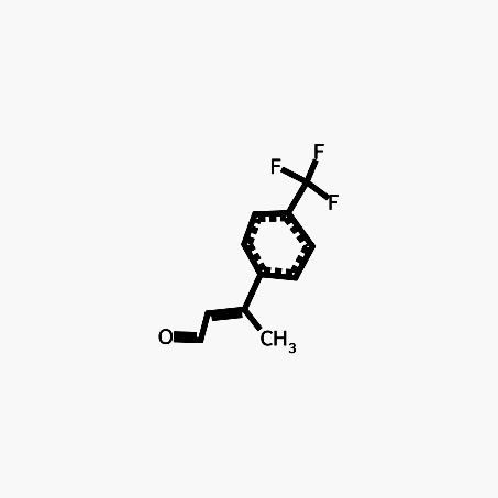 C/C(=C\C=O)c1ccc(C(F)(F)F)cc1